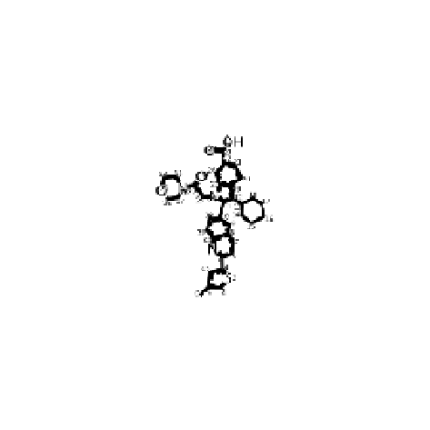 Cc1csc(-c2ccc3cc(-c4c(C5CCCCC5)c5ccc(C(=O)O)cc5n4CC(=O)N4CCOCC4)ccc3n2)c1